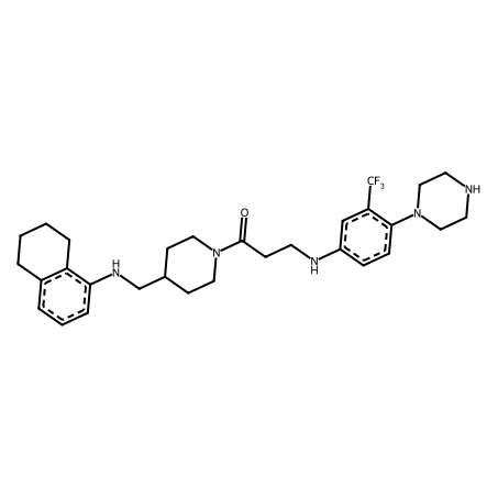 O=C(CCNc1ccc(N2CCNCC2)c(C(F)(F)F)c1)N1CCC(CNc2cccc3c2CCCC3)CC1